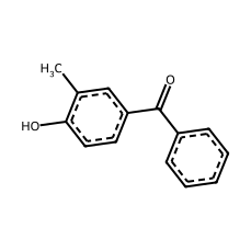 Cc1cc(C(=O)c2ccccc2)ccc1O